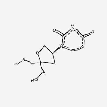 CSC[C@@]1(CO)C[C@H](n2ccc(=O)[nH]c2=O)CO1